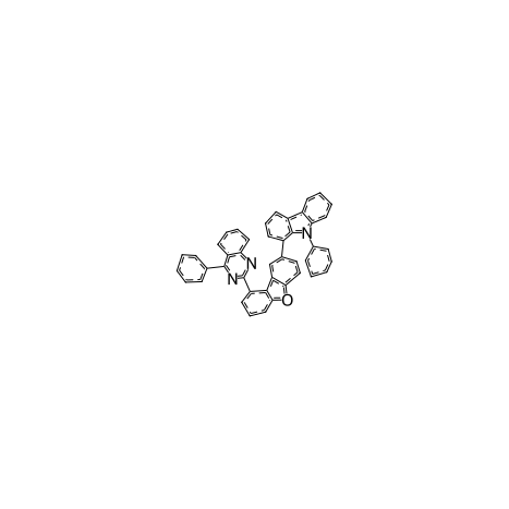 c1ccc(-c2nc(-c3cccc4oc5ccc(-c6cccc7c8ccccc8n(-c8ccccc8)c67)cc5c34)nc3ccccc23)cc1